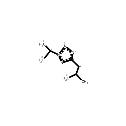 CC(C)Cc1nnn(C(C)C)n1